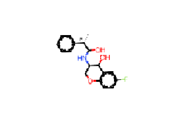 C[C@@H](c1ccccc1)C(O)NC1COc2ccc(F)cc2C1O